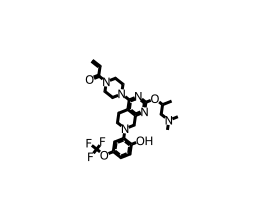 C=CC(=O)N1CCN(c2nc(OC(C)CN(C)C)nc3c2CCN(c2cc(OC(F)(F)F)ccc2O)C3)CC1